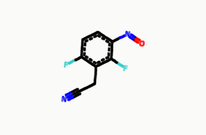 N#CCc1c(F)ccc(N=O)c1F